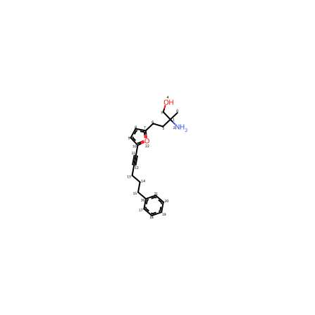 CC(N)(CO)CCc1ccc(C#CCCCc2ccccc2)o1